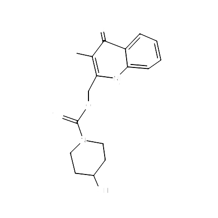 Cc1c(COC(=O)N2CCC(O)CC2)[nH]c2ccccc2c1=O